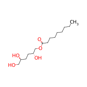 CCCCCCCCC(=O)OC[C@H](O)CC[C@H](O)CO